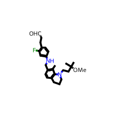 COC(C)(C)CCN1CCCc2ccc(CNc3ccc(CCC=O)c(F)c3)c(C)c21